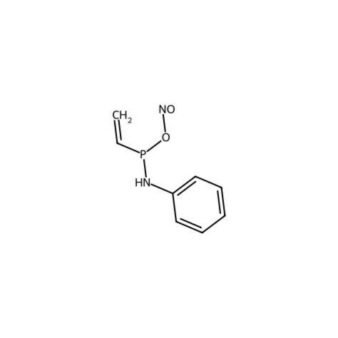 C=CP(Nc1ccccc1)ON=O